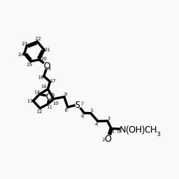 CN(O)C(=O)CCCCSCCC1C2CCC(O2)C1CCOc1ccccc1